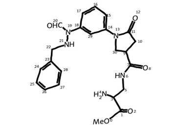 COC(=O)C(N)CNC(=O)C1CC(=O)N(c2cccc(N(C=O)NCc3ccccc3)c2)C1